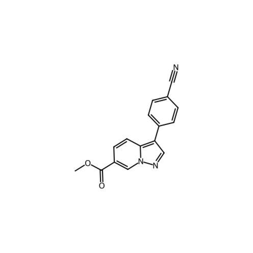 COC(=O)c1ccc2c(-c3ccc(C#N)cc3)cnn2c1